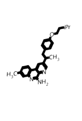 Cc1ccc2c(c1)nc(N)c1ncc(C(C)Cc3ccc(OCCC(C)C)cc3)cc12